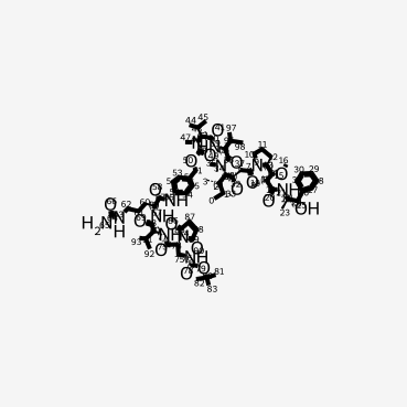 CC[C@H](C)[C@@H]([C@@H](CC(=O)N1CCC[C@H]1[C@H](OC)[C@@H](C)C(=O)N[C@H](C)[C@@H](O)c1ccccc1)OC)N(C)C(=O)[C@@H](NC(=O)[C@H](C(C)C)N(C)C(=O)OCc1ccc(NC(=O)[C@H](CCCNC(N)=O)NC(=O)[C@@H](NC(=O)C(CNC(=O)OC(C)(C)C)N2C(=O)C=CC2=O)C(C)C)cc1)C(C)C